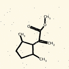 C=C(C(=O)OC)C1C(C)CCC1C